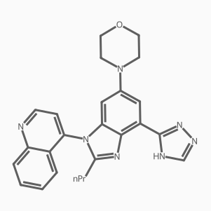 CCCc1nc2c(-c3nnc[nH]3)cc(N3CCOCC3)cc2n1-c1ccnc2ccccc12